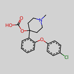 CN1CCC(OC(=O)O)(c2ccccc2Oc2ccc(Cl)cc2)CC1